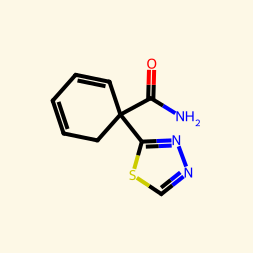 NC(=O)C1(c2nncs2)C=CC=CC1